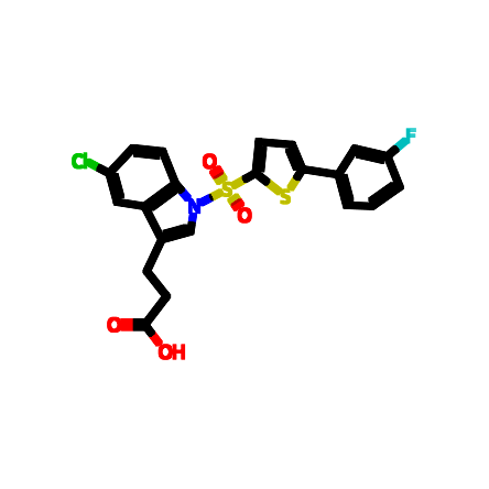 O=C(O)CCc1cn(S(=O)(=O)c2ccc(-c3cccc(F)c3)s2)c2ccc(Cl)cc12